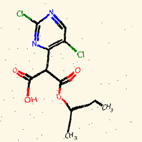 CCC(C)OC(=O)C(C(=O)O)c1nc(Cl)ncc1Cl